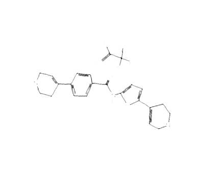 O=C(Nc1ccc(C2=CCNCC2)s1)c1ccc(C2=CCNCC2)cc1.O=C(O)C(F)(F)F